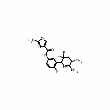 Cc1nc(C(=O)Nc2ccc(F)c(C3N=C(N)C(C)CC3(F)F)c2)co1